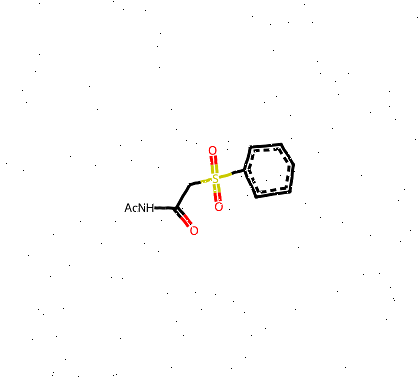 CC(=O)NC(=O)CS(=O)(=O)c1ccccc1